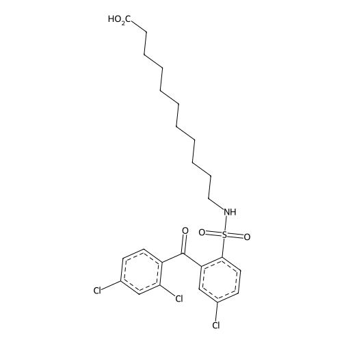 O=C(O)CCCCCCCCCCNS(=O)(=O)c1ccc(Cl)cc1C(=O)c1ccc(Cl)cc1Cl